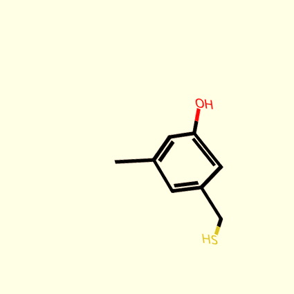 Cc1cc(O)cc(CS)c1